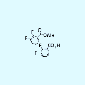 COC(=O)c1cccc(F)c1F.O=C(O)c1cccc(F)c1F